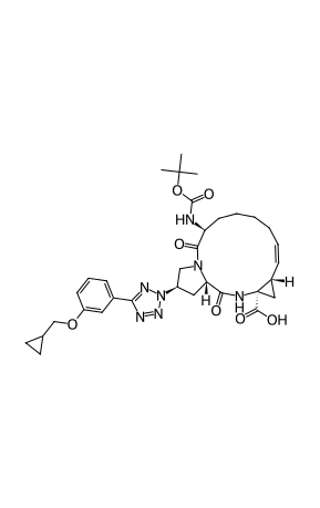 CC(C)(C)OC(=O)N[C@H]1CCCC/C=C\[C@@H]2C[C@@]2(C(=O)O)NC(=O)[C@@H]2C[C@@H](n3nnc(-c4cccc(OCC5CC5)c4)n3)CN2C1=O